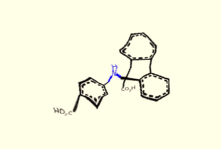 O=C(O)c1ccc(NC2(C(=O)O)c3ccccc3-c3ccccc32)cc1